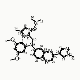 COc1cc(OC)cc(N(Cc2nc(C)cn2SN(C)C)c2ccc3ncc(-c4cnn(C)c4)nc3c2)c1